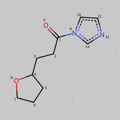 O=C(CCC1CCCO1)n1ccnc1